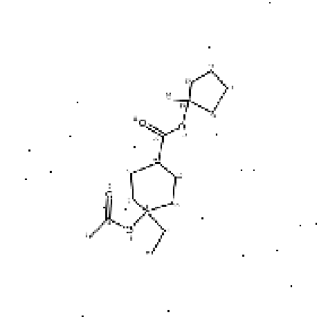 CCC1(OC(C)=O)CCC(C(=O)OC2(C)CCCC2)CC1